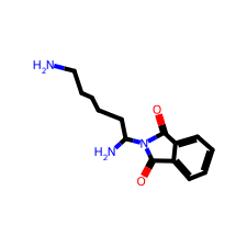 NCCCCCC(N)N1C(=O)c2ccccc2C1=O